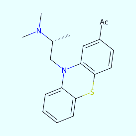 CC(=O)c1ccc2c(c1)N(C[C@@H](C)N(C)C)c1ccccc1S2